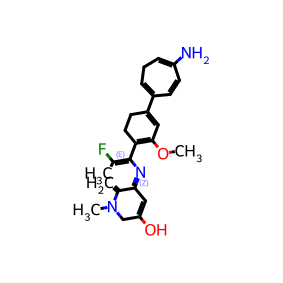 C=C1/C(=N\C(C2=C(OC)C=C(C3=CCC=C(N)C=C3)CC2)=C(/C)F)C=C(O)CN1C